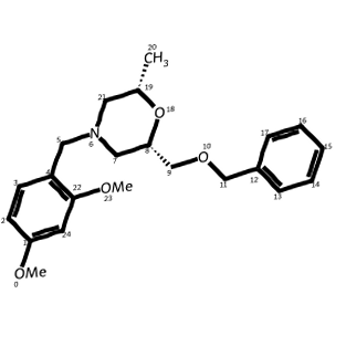 COc1ccc(CN2C[C@@H](COCc3ccccc3)O[C@@H](C)C2)c(OC)c1